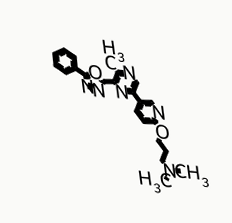 Cc1ncc(-c2ccc(OCCCN(C)C)nc2)nc1-c1nnc(-c2ccccc2)o1